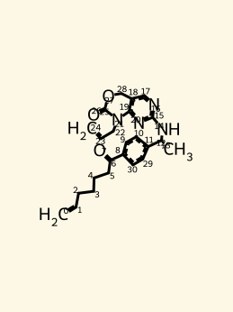 C=CCCCCC(=O)c1ccc([C@H](C)Nc2ncc3c(n2)N(CC=C)C(=O)OC3)cc1